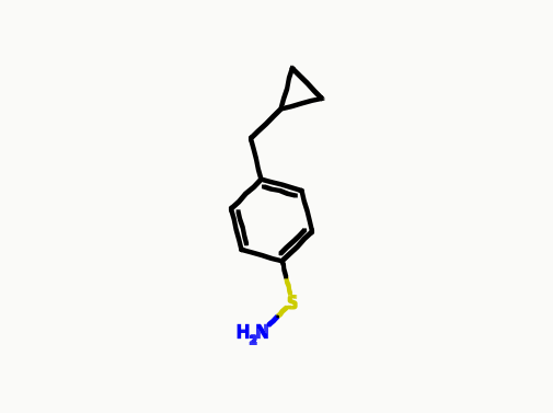 NSc1ccc(CC2CC2)cc1